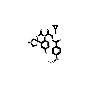 O=C(O)Nc1ccc(C(=O)N[C@@H](CC2CC2)C(=O)N2C(=O)O[C@@]3(CCNC3)c3cc(Cl)ccc32)cc1